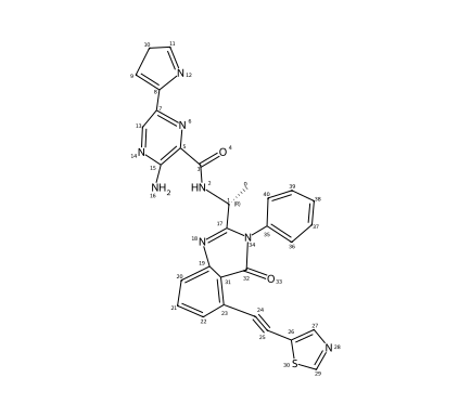 C[C@@H](NC(=O)c1nc(C2=CCC=N2)cnc1N)c1nc2cccc(C#Cc3cncs3)c2c(=O)n1-c1ccccc1